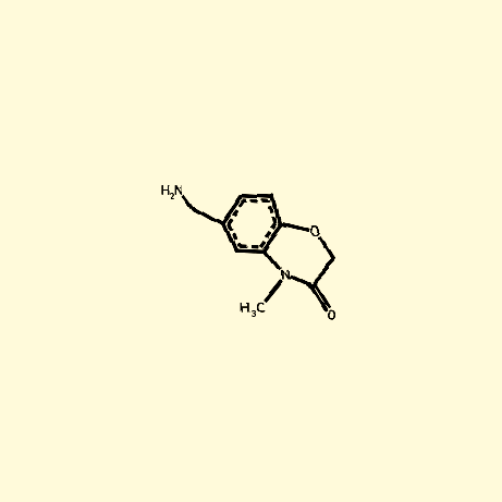 CN1C(=O)COc2ccc(CN)cc21